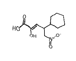 O=C(O)C(O)=CC(C[N+](=O)[O-])C1CCCCC1